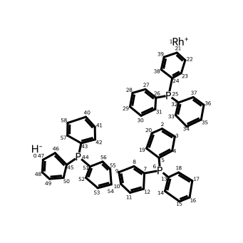 [H-].[Rh+].c1ccc(P(c2ccccc2)c2ccccc2)cc1.c1ccc(P(c2ccccc2)c2ccccc2)cc1.c1ccc(P(c2ccccc2)c2ccccc2)cc1